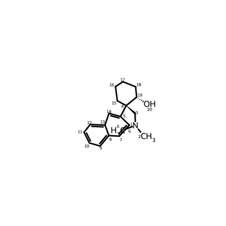 CN(C)C[C@@]1(c2ccc3ccccc3c2)CCCC[C@@H]1O